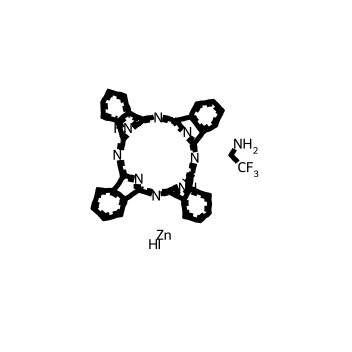 I.NCC(F)(F)F.[Zn].c1ccc2c(c1)-c1nc-2nc2[nH]c(nc3nc(nc4[nH]c(n1)c1ccccc41)-c1ccccc1-3)c1ccccc21